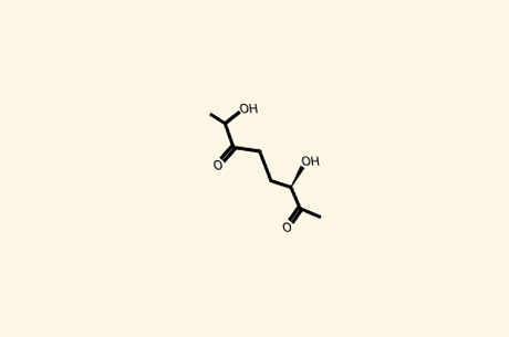 CC(=O)[C@H](O)CCC(=O)C(C)O